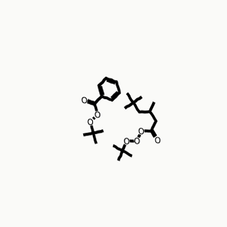 CC(C)(C)OOC(=O)c1ccccc1.CC(CC(=O)OOOC(C)(C)C)CC(C)(C)C